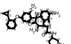 Cc1cc(Oc2ccccc2C2CC2)ccc1C1(N)C(=O)C(N)c2c(C(=O)NC3CCCNC3)sc3c(N)ccc1c23